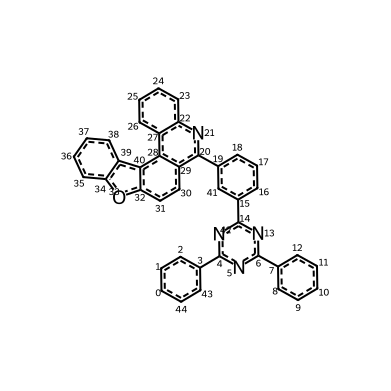 c1ccc(-c2nc(-c3ccccc3)nc(-c3cccc(-c4nc5ccccc5c5c4ccc4oc6ccccc6c45)c3)n2)cc1